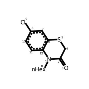 CCCCCCN1C(=O)CSc2cc(Cl)ccc21